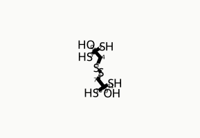 OC(S)(S)CSSCC(O)(S)S